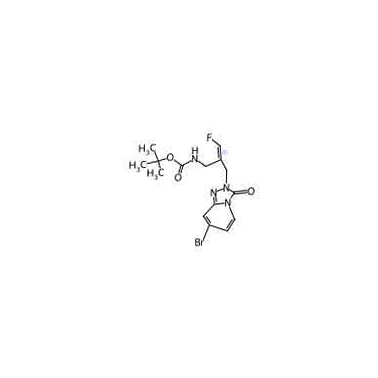 CC(C)(C)OC(=O)NC/C(=C\F)Cn1nc2cc(Br)ccn2c1=O